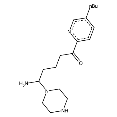 CCCCc1ccc(C(=O)CCCC(N)N2CCNCC2)nc1